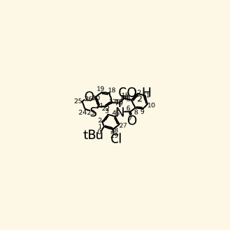 CC(C)(C)c1ccc(N2C(=O)c3ccccc3[C@@H](C(=O)O)[C@@H]2c2ccc3c(c2)SCCO3)cc1Cl